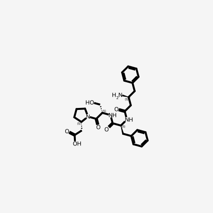 N[C@H](CC(=O)N[C@@H](Cc1ccccc1)C(=O)N[C@@H](CO)C(=O)N1CCC[C@H]1CC(=O)O)Cc1ccccc1